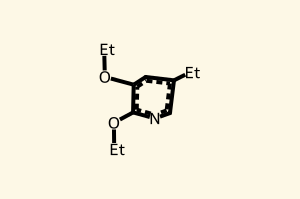 CCOc1cc(CC)cnc1OCC